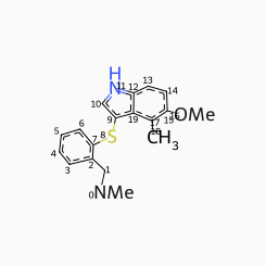 CNCc1ccccc1Sc1c[nH]c2ccc(OC)c(C)c12